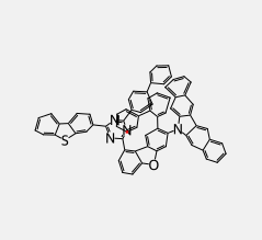 c1ccc(-c2ccc(-c3nc(-c4ccc5c(c4)sc4ccccc45)nc(-c4cccc5oc6cc(-n7c8cc9ccccc9cc8c8cc9ccccc9cc87)c(-c7ccccc7-c7ccccc7)cc6c45)n3)cc2)cc1